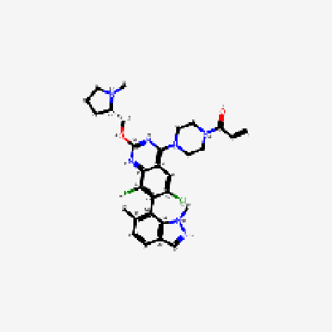 C=CC(=O)N1CCN(c2nc(OC[C@@H]3CCCN3C)nc3c(F)c(-c4c(C)ccc5cnn(C)c45)c(Cl)cc23)CC1